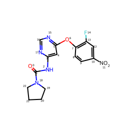 O=C(Nc1cc(Oc2ccc([N+](=O)[O-])cc2F)ncn1)N1CCCC1